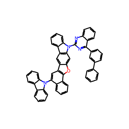 c1ccc(-c2cccc(-c3nc(-n4c5ccccc5c5cc6c(cc54)oc4c5ccccc5c(-n5c7ccccc7c7ccccc75)cc64)nc4ccccc34)c2)cc1